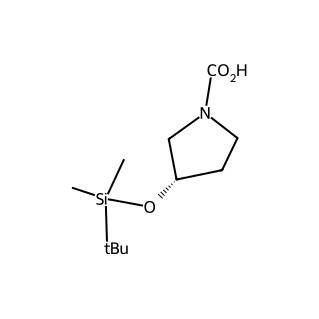 CC(C)(C)[Si](C)(C)O[C@H]1CCN(C(=O)O)C1